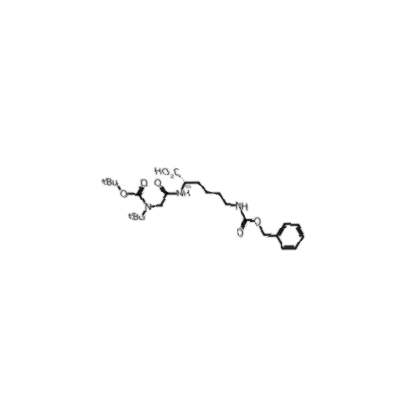 CC(C)(C)OC(=O)N(CC(=O)N[C@@H](CCCCNC(=O)OCc1ccccc1)C(=O)O)C(C)(C)C